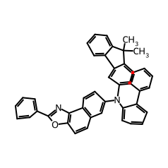 CC1(C)c2ccccc2-c2cc(N(c3ccc4c(ccc5oc(-c6ccccc6)nc54)c3)c3ccccc3-c3ccccc3)ccc21